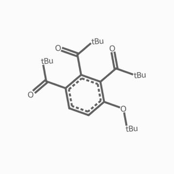 CC(C)(C)Oc1ccc(C(=O)C(C)(C)C)c(C(=O)C(C)(C)C)c1C(=O)C(C)(C)C